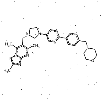 Cc1nc2nc(C)c(C[C@@H]3CCN(c4cnc(-c5ccc(CN6CCOCC6)cc5)nc4)C3)c(C)n2n1